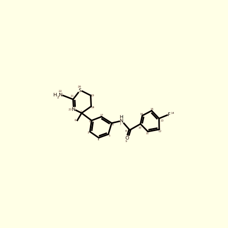 CC1(c2cccc(NC(=O)c3ccc(F)cc3)c2)CCSC(N)=N1